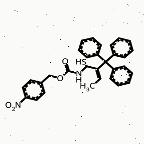 C/C=C(\C(S)NC(=O)OCc1ccc([N+](=O)[O-])cc1)C(c1ccccc1)(c1ccccc1)c1ccccc1